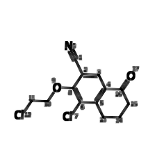 N#Cc1cc2c(c(Cl)c1OCCCl)CCCC2=O